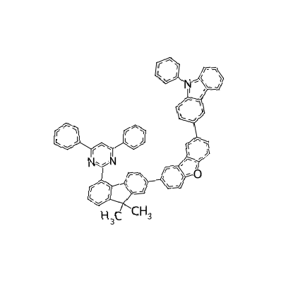 CC1(C)c2cc(-c3ccc4oc5ccc(-c6ccc7c(c6)c6ccccc6n7-c6ccccc6)cc5c4c3)ccc2-c2c(-c3nc(-c4ccccc4)cc(-c4ccccc4)n3)cccc21